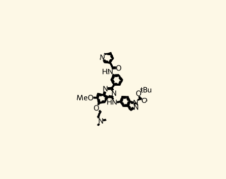 COc1cc2nc(-c3cccc(NC(=O)c4cccnc4)c3)nc(Nc3ccc4c(cnn4C(=O)OC(C)(C)C)c3)c2cc1OCCN(C)C